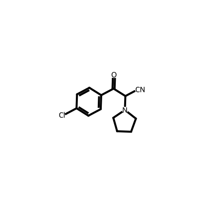 N#CC(C(=O)c1ccc(Cl)cc1)N1CCCC1